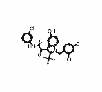 O=C(Nc1cccc(Cl)c1)C(=O)c1c(C(F)(F)F)n(Cc2ccc(Cl)cc2Cl)c2ccc(O)cc12